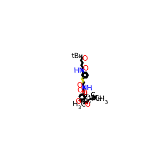 CO[C@H]1[C@H](C2(C)O[C@@H]2CC=C(C)C)[C@]2(CC[C@H]1OC(=O)NC(=O)CSc1cccc(NC(=O)CCCC(=O)C(C)(C)C)c1)CO2